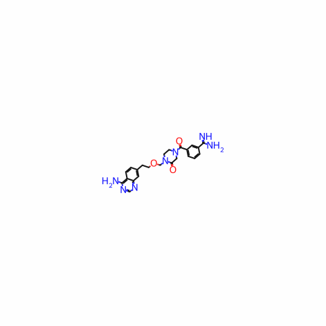 N=C(N)c1cccc(C(=O)N2CCN(COCCc3ccc4c(N)ncnc4c3)C(=O)C2)c1